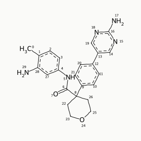 Cc1ccc(NC(=O)C2(c3ccc(-c4cnc(N)nc4)cc3)CCOCC2)cc1N